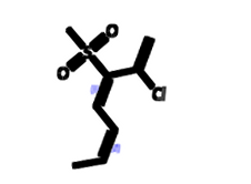 C=C(Cl)/C(=C\C=C/C)S(C)(=O)=O